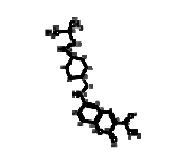 CC(=O)c1cc2cc(NC[C@H]3CC[C@H](NSC(C)C)CC3)ccc2oc1=O